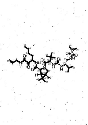 C=CCNC(=O)C(=O)C(CCCC)NC(=O)[C@@H]1[C@@H]2[C@H](CN1C(=O)[C@@H](NC(=O)N[C@H](CNS(=O)(=O)N(C)C)C(C)C)C(C)(C)C)C2(C)C